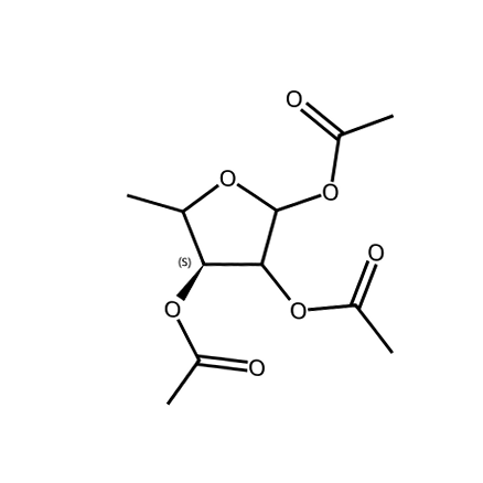 CC(=O)OC1OC(C)[C@H](OC(C)=O)C1OC(C)=O